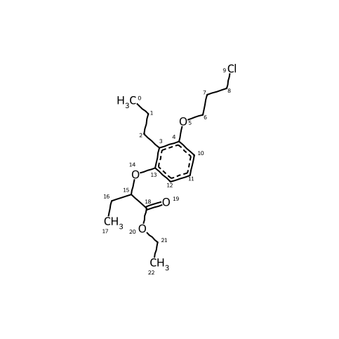 CCCc1c(OCCCCl)cccc1OC(CC)C(=O)OCC